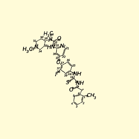 Cc1ccccc1CC(=O)NC(=S)Nc1ccc(Oc2ccnc(NC(=O)N(C)C3CCN(C)CC3)c2)c(F)c1